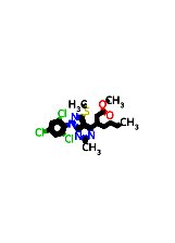 CCCCC(CC(=O)OC)c1nc(C)nc2c1c(SC)nn2-c1c(Cl)cc(Cl)cc1Cl